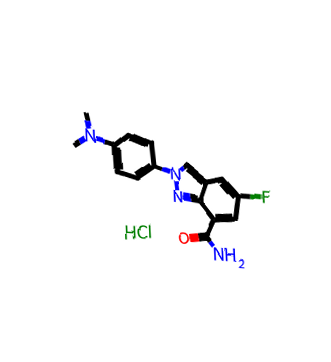 CN(C)c1ccc(-n2cc3cc(F)cc(C(N)=O)c3n2)cc1.Cl